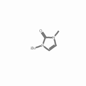 CCC(C)n1ccn(C)c1=O